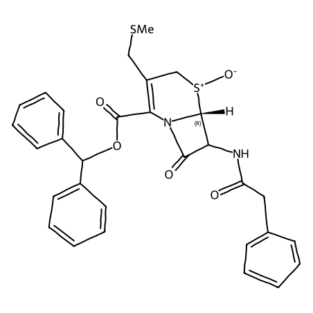 CSCC1=C(C(=O)OC(c2ccccc2)c2ccccc2)N2C(=O)C(NC(=O)Cc3ccccc3)[C@H]2[S+]([O-])C1